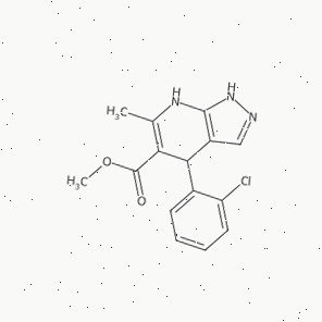 COC(=O)C1=C(C)Nc2[nH]ncc2C1c1ccccc1Cl